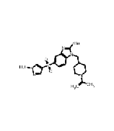 C=C(C)N1CCC(Cn2c(C(C)(C)C)nc3cc(S(=O)(=O)c4cnn(C)c4)ccc32)CC1